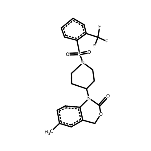 Cc1ccc2c(c1)COC(=O)N2C1CCN(S(=O)(=O)c2ccccc2C(F)(F)F)CC1